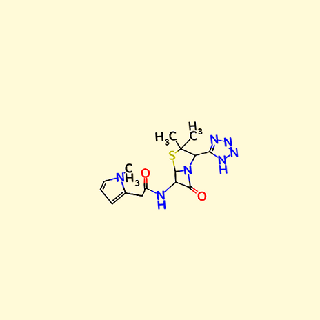 Cn1cccc1CC(=O)NC1C(=O)N2C1SC(C)(C)C2c1nnn[nH]1